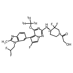 [2H]C([2H])([2H])Oc1nc(N[C@@H]2CCN(C(=O)CO)CC2(F)F)nn2cc(F)c(-c3ccc4nc(C)n(CC(F)F)c4c3)c12